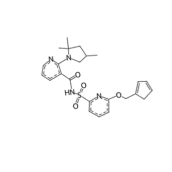 CC1CN(c2ncccc2C(=O)NS(=O)(=O)c2cccc(OCC3=CC=CC3)n2)C(C)(C)C1